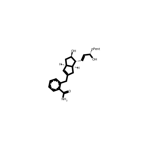 CCCCC[C@H](O)/C=C/[C@@H]1[C@H]2CC(Cc3ccccc3C(N)=O)=C[C@H]2C[C@H]1O